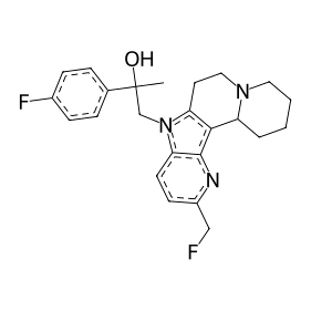 CC(O)(Cn1c2c(c3nc(CF)ccc31)C1CCCCN1CC2)c1ccc(F)cc1